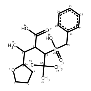 CC(C1CCCO1)C(C(=O)O)C(C(C)(C)C)P(=O)(O)Cc1ccccc1